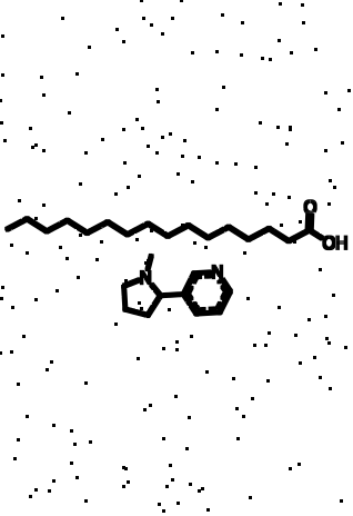 CCCCCCCCCCCCCCCC(=O)O.CN1CCCC1c1cccnc1